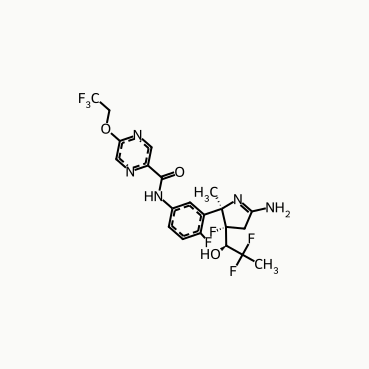 CC(F)(F)[C@@H](O)[C@]1(F)CC(N)=N[C@]1(C)c1cc(NC(=O)c2cnc(OCC(F)(F)F)cn2)ccc1F